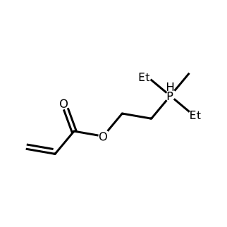 C=CC(=O)OCC[PH](C)(CC)CC